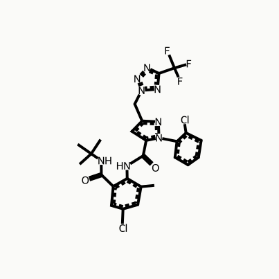 Cc1cc(Cl)cc(C(=O)NC(C)(C)C)c1NC(=O)c1cc(Cn2nnc(C(F)(F)F)n2)nn1-c1ccccc1Cl